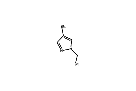 CC(C)Cn1cc(C(C)(C)C)cn1